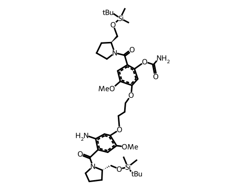 COc1cc(C(=O)N2CCC[C@H]2CO[Si](C)(C)C(C)(C)C)c(N)cc1OCCCOc1cc(OC(N)=O)c(C(=O)N2CCC[C@H]2CO[Si](C)(C)C(C)(C)C)cc1OC